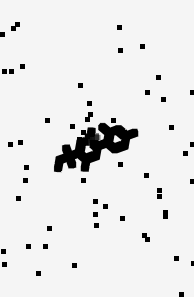 CCC(C)(C)c1c[n+](C)c(-c2ccc(C)cc2C)cc1C